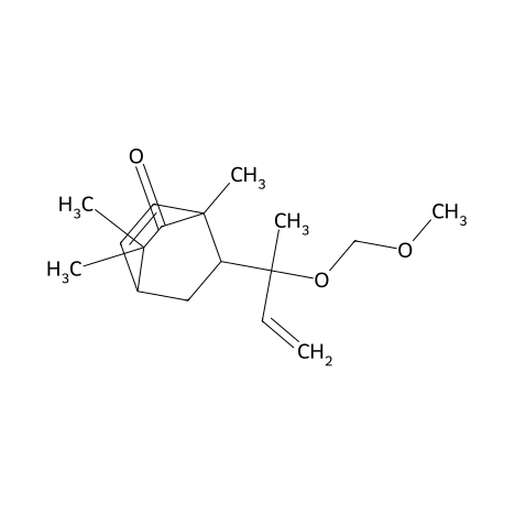 C=CC(C)(OCOC)C1CC2C=CC1(C)C(=O)C2(C)C